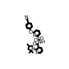 CC1CN(c2ncccc2C(=O)NS(=O)(=O)c2cccc(Oc3ccc(C#N)cc3)n2)C(C)(C)C1